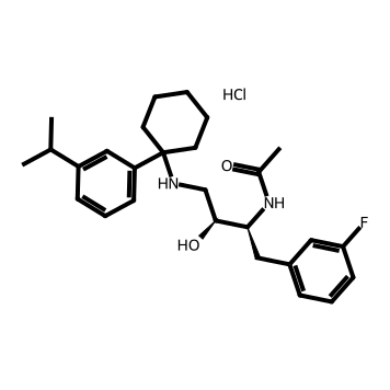 CC(=O)N[C@@H](Cc1cccc(F)c1)[C@@H](O)CNC1(c2cccc(C(C)C)c2)CCCCC1.Cl